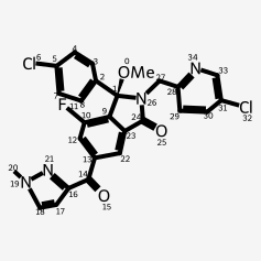 CO[C@]1(c2ccc(Cl)cc2)c2c(F)cc(C(=O)c3ccn(C)n3)cc2C(=O)N1Cc1ccc(Cl)cn1